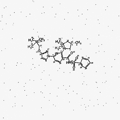 C[C@@H]1CN(c2nc(-n3ccc(OC[Si](C)(C)C)n3)ccc2C(=O)NS(=O)(=O)c2ccccc2)C(C)(C)C1